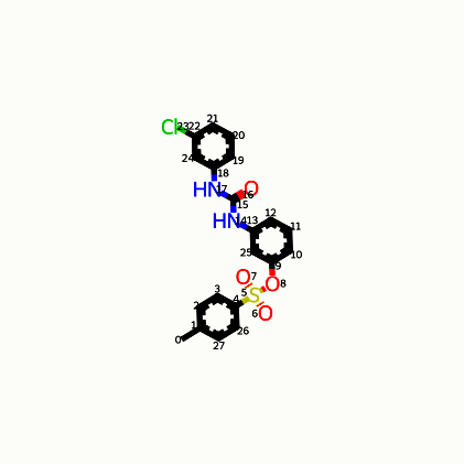 Cc1ccc(S(=O)(=O)Oc2cccc(NC(=O)Nc3cccc(Cl)c3)c2)cc1